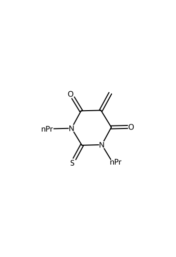 C=C1C(=O)N(CCC)C(=S)N(CCC)C1=O